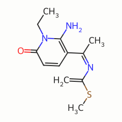 C=C(/N=C(/C)c1ccc(=O)n(CC)c1N)SC